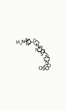 CS(=O)(=O)CC(=O)N1CCN(Cc2cc3nc(N4CCOC(c5cnc(N)nc5)C4)ncc3s2)CC1